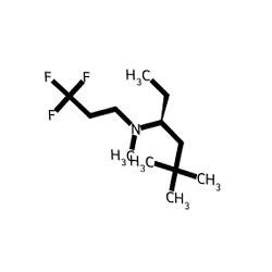 CC[C@@H](CC(C)(C)C)N(C)CCC(F)(F)F